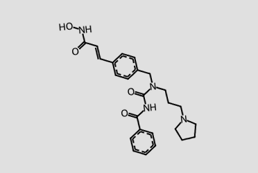 O=C(C=Cc1ccc(CN(CCCN2CCCC2)C(=O)NC(=O)c2ccccc2)cc1)NO